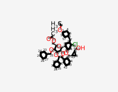 CCOc1ccc(Cc2cc([C@@H]3O[C@H](COC(C)=O)[C@@H](OCc4ccccc4)[C@@H](OCc4ccccc4)[C@H]3OCc3ccccc3)c(OC[C@H]3C[C@H]3CO)cc2Cl)cc1